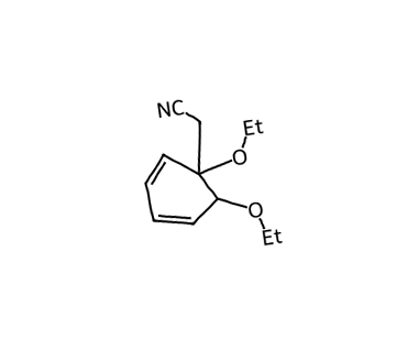 CCOC1C=CC=CC1(CC#N)OCC